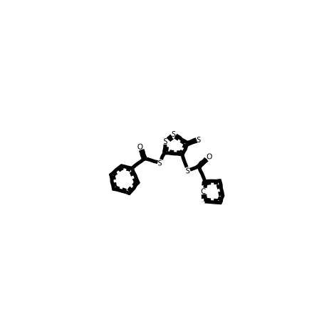 O=C(Sc1ssc(=S)c1SC(=O)c1ccccc1)c1ccccc1